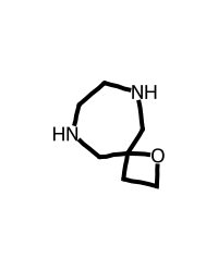 C1CNCC2(CCO2)CN1